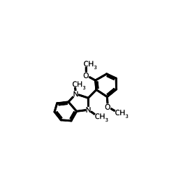 COc1cccc(OC)c1C1N(C)c2ccccc2N1C